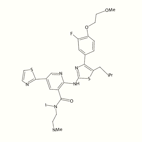 CNCCN(I)C(=O)c1cc(-c2nccs2)cnc1Nc1nc(-c2ccc(OCCOC)c(F)c2)c(CC(C)C)s1